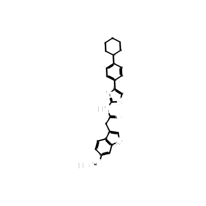 COc1ccc2c(CC(=O)Nc3nc(-c4ccc(C5CCCCC5)cc4)cs3)coc2c1